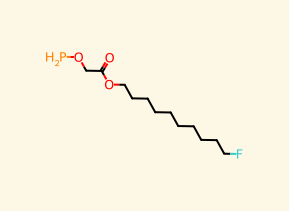 O=C(COP)OCCCCCCCCCCF